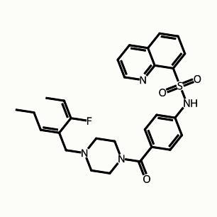 C/C=C(F)\C(=C/CC)CN1CCN(C(=O)c2ccc(NS(=O)(=O)c3cccc4cccnc34)cc2)CC1